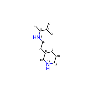 CC(C)C(C)NCCC1CCCNC1